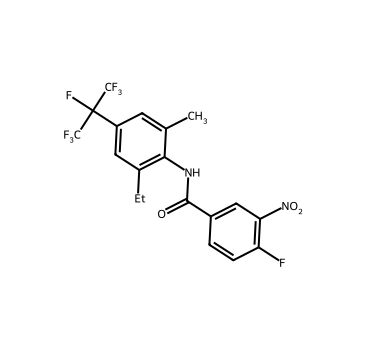 CCc1cc(C(F)(C(F)(F)F)C(F)(F)F)cc(C)c1NC(=O)c1ccc(F)c([N+](=O)[O-])c1